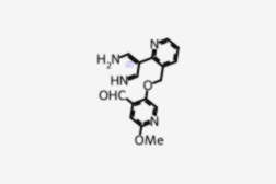 COc1cc(C=O)c(OCc2cccnc2/C(C=N)=C/N)cn1